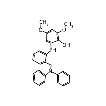 COc1cc(OC)c(O)c(Pc2ccccc2CN(c2ccccc2)c2ccccc2)c1